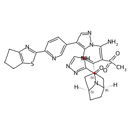 CS(=O)(=O)c1c([C@@H]2C[C@H]3CC[C@@H](C2)N3C(=O)c2nnc[nH]2)nc2c(-c3ccc(-c4nc5c(s4)CCC5)nc3)cnn2c1N